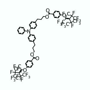 O=C(OCCCc1ccc(N(c2ccccc2)c2ccc(CCCOC(=O)c3ccc(OC(=C(C(F)(C(F)(F)F)C(F)(F)F)C(F)(C(F)(F)F)C(F)(F)F)C(F)(F)F)cc3)cc2)cc1)c1ccc(OC(=C(C(F)(C(F)(F)F)C(F)(F)F)C(F)(C(F)(F)F)C(F)(F)F)C(F)(F)F)cc1